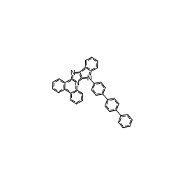 c1ccc(-c2ccc(-c3ccc(-n4c5ccccc5c5nc6c7ccccc7c7ccccc7n6c54)cc3)cc2)cc1